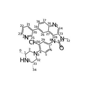 C[C@@H]1CN(c2ccc(-n3c(=O)n(C)c4cnc5ccc(-c6cccnc6)cc5c43)cc2Cl)C[C@H](C)N1